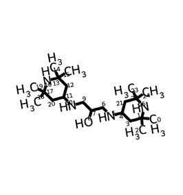 CC1(C)CC(NCC(O)CNC2CC(C)(C)NC(C)(C)C2)CC(C)(C)N1